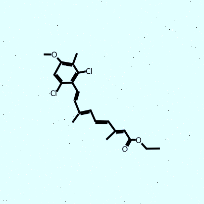 CCOC(=O)/C=C(C)/C=C/C=C(C)C=Cc1c(Cl)cc(OC)c(C)c1Cl